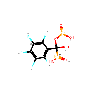 O=[PH](O)OC(O)(c1c(F)c(F)c(F)c(F)c1F)[PH](=O)O